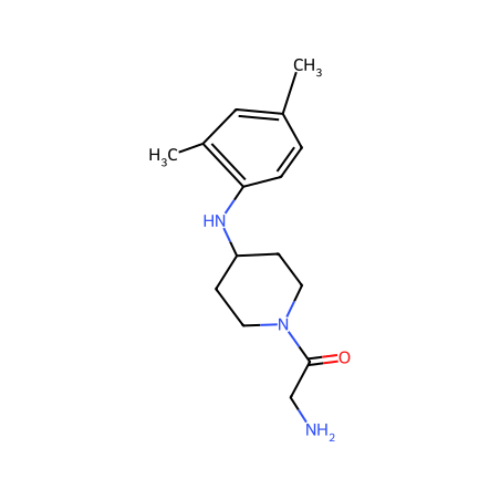 Cc1ccc(NC2CCN(C(=O)CN)CC2)c(C)c1